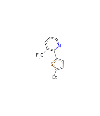 CCc1ccc(-c2ncccc2C(F)(F)F)s1